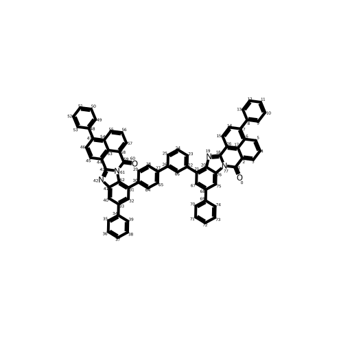 O=c1c2cccc3c(-c4ccccc4)ccc(c32)c2nc3c(-c4cccc(-c5ccc(-c6cc(-c7ccccc7)cc7nc8c9ccc(-c%10ccccc%10)c%10cccc(c(=O)n8c67)c%109)cc5)c4)cc(-c4ccccc4)cc3n12